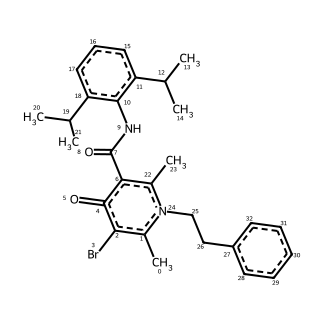 Cc1c(Br)c(=O)c(C(=O)Nc2c(C(C)C)cccc2C(C)C)c(C)n1CCc1ccccc1